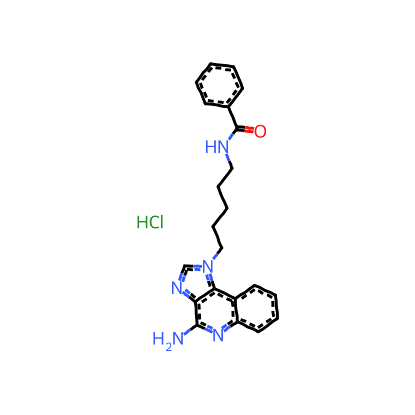 Cl.Nc1nc2ccccc2c2c1ncn2CCCCCNC(=O)c1ccccc1